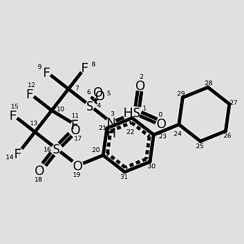 O=[SH](=O)NS(=O)(=O)C(F)(F)C(F)(F)C(F)(F)S(=O)(=O)Oc1ccc(C2CCCCC2)cc1